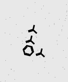 C=C(C)C.C=C(C)C.C=C(C)C.c1ccccc1